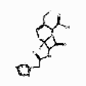 O=C(Cc1cccs1)NC1C(=O)N2C(C(=O)O)C(CF)=CS[C@@H]12